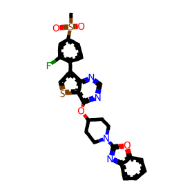 CS(=O)(=O)c1ccc(-c2csc3c(OC4CCN(c5nc6ccccc6o5)CC4)ncnc23)c(F)c1